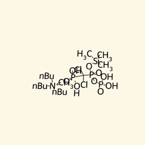 CCCC[N+](C)(CCCC)CCCC.C[Si](C)(C)OP(=O)(OP(=O)(O)O)C(Cl)(Cl)P(=O)(O)O